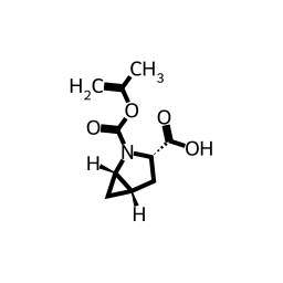 C=C(C)OC(=O)N1[C@H](C(=O)O)C[C@@H]2C[C@@H]21